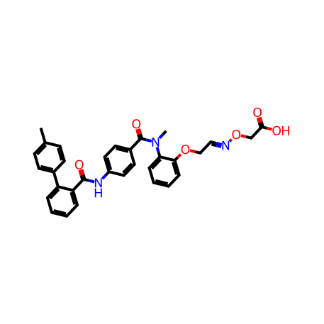 Cc1ccc(-c2ccccc2C(=O)Nc2ccc(C(=O)N(C)c3ccccc3OCC=NOCC(=O)O)cc2)cc1